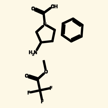 COC(=O)C(F)(F)F.NC1CCN(C(=O)O)C1.c1ccccc1